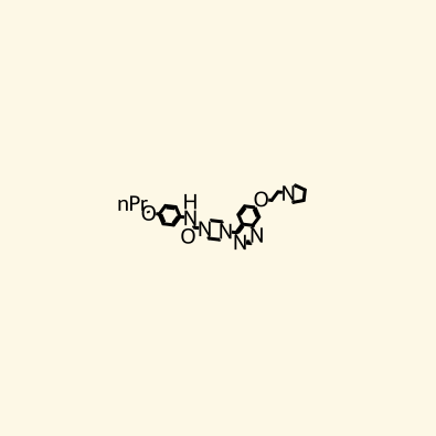 CCCOc1ccc(NC(=O)N2CCN(c3ncnc4cc(OCCN5CCCC5)ccc34)CC2)cc1